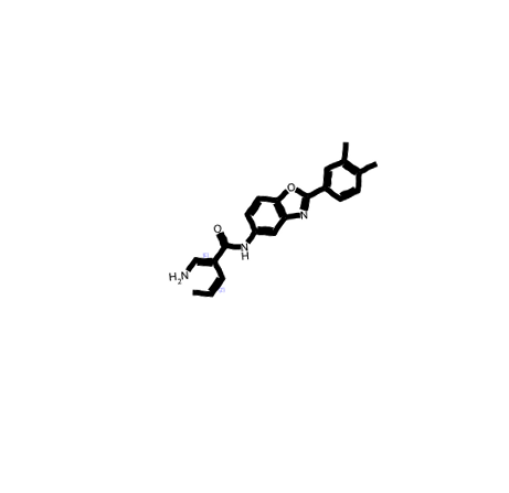 C/C=C\C(=C/N)C(=O)Nc1ccc2oc(-c3ccc(C)c(C)c3)nc2c1